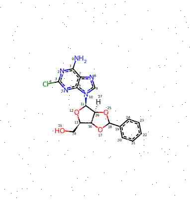 Nc1nc(Cl)nc2c1ncn2[C@@H]1O[C@H](CO)C2OC(c3ccccc3)O[C@@H]21